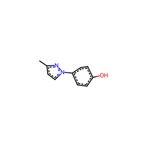 Cc1ccn(-c2ccc(O)cc2)n1